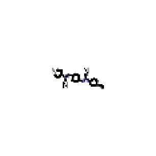 C#Cc1ccc(/C(C#N)=C/c2ccc(/C=C(\C#N)c3ccncc3)cc2)cc1